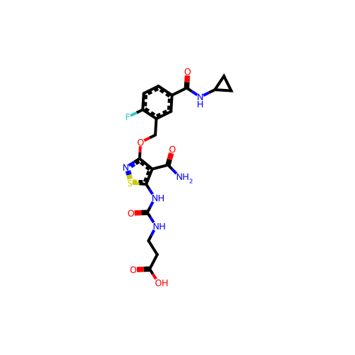 NC(=O)c1c(OCc2cc(C(=O)NC3CC3)ccc2F)nsc1NC(=O)NCCC(=O)O